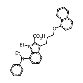 CCN(c1ccccc1)c1cccc2c(CCCOc3cccc4ccccc34)c(C(=O)O)n(CC)c12